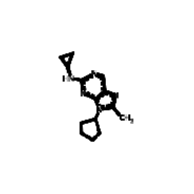 Cc1nc2cnc(NC3CC3)nc2n1C1CCCC1